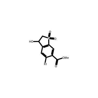 CCc1cc2c(cc1C(=O)OC)S(=O)(=O)CC2O